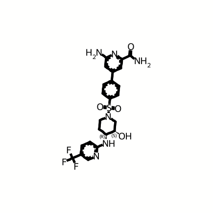 NC(=O)c1cc(-c2ccc(S(=O)(=O)N3CC[C@@H](Nc4ccc(C(F)(F)F)cn4)[C@@H](O)C3)cc2)cc(N)n1